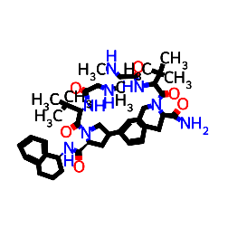 CNCC(=O)NC(C(=O)N1Cc2cc(C3C[C@@H](C(=O)N[C@@H]4CCCc5ccccc54)N(C(=O)[C@@H](NC(=O)CNC)C(C)(C)C)C3)ccc2CC1C(N)=O)C(C)(C)C